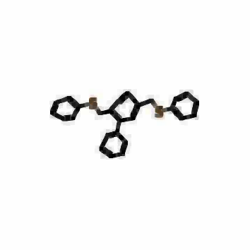 c1ccc(SCc2ccc(CSc3ccccc3)c(-c3ccccc3)c2)cc1